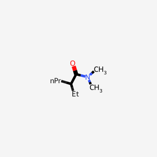 [CH2]CCC(CC)C(=O)N(C)C